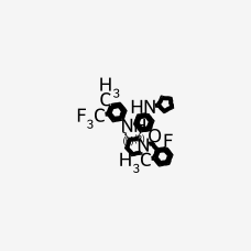 Cc1ccc(NC[C@H]2CCCN(C(=O)c3c(C)cccc3F)[C@H]2c2ccc(NC3CCCC3)cc2)cc1C(F)(F)F